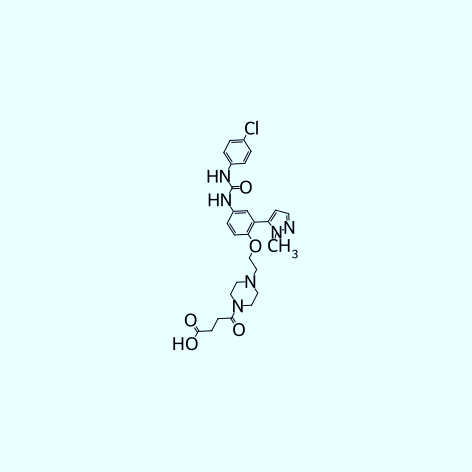 Cn1nccc1-c1cc(NC(=O)Nc2ccc(Cl)cc2)ccc1OCCN1CCN(C(=O)CCC(=O)O)CC1